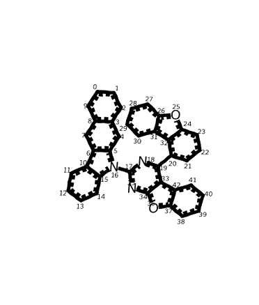 c1ccc2cc3c(cc2c1)c1ccccc1n3-c1nc(-c2cccc3oc4ccccc4c23)c2c(n1)oc1ccccc12